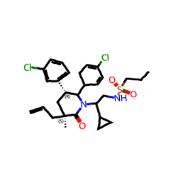 C=CC[C@@]1(C)C[C@H](c2cccc(Cl)c2)C(C2C=CC(Cl)=CC2)N(C(CNS(=O)(=O)CCC)C2CC2)C1=O